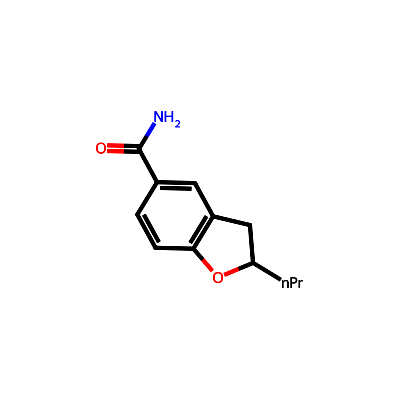 CCCC1Cc2cc(C(N)=O)ccc2O1